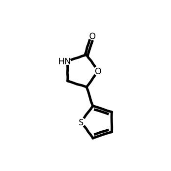 O=C1NCC(c2cccs2)O1